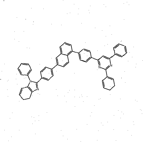 C1=CC(c2nc(-c3ccccc3)cc(-c3ccc(-c4cccc5cc(-c6ccc(-c7nc8c(n7-c7ccccc7)C=CCC8)cc6)ccc45)cc3)n2)=CCC1